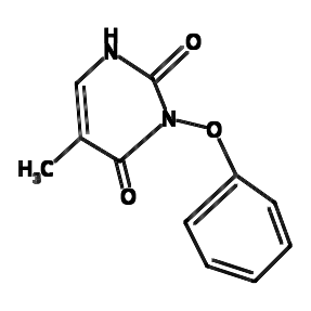 Cc1c[nH]c(=O)n(Oc2ccccc2)c1=O